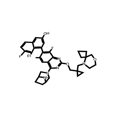 CCc1c(F)ccc2cc(O)cc(-c3c(C)cc4c(N5CC6CCC(C5)N6)nc(OCC5(CN6CCOCC67CCC7)CC5)nc4c3F)c12